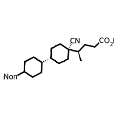 CCCCCCCCCC1CCC([C@H]2CC[C@](C#N)([C@H](C)CCC(=O)O)CC2)CC1